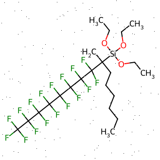 [CH2]C(CCCCCC)(C(F)(F)C(F)(F)C(F)(F)C(F)(F)C(F)(F)C(F)(F)C(F)(F)C(F)(F)F)[Si](OCC)(OCC)OCC